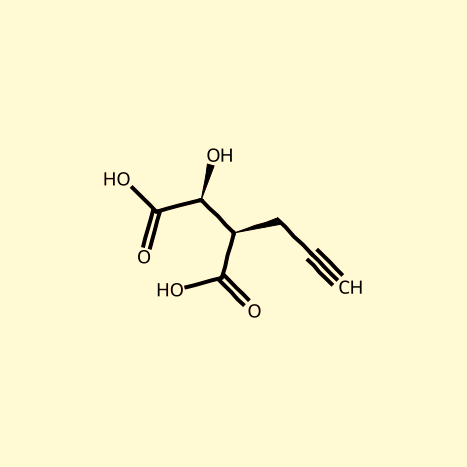 C#CC[C@@H](C(=O)O)[C@H](O)C(=O)O